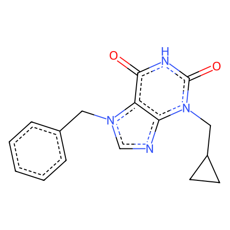 O=c1[nH]c(=O)n(CC2CC2)c2ncn(Cc3ccccc3)c12